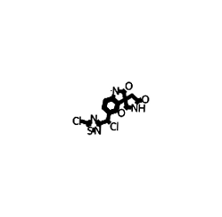 O=C1CC2(C(=O)[N]c3ccc(C(Cl)c4nsc(Cl)n4)cc32)C(=O)N1